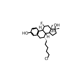 C[C@]12C[C@H](F)[C@@H]3c4ccc(O)cc4C[C@@H](CCCCCCl)[C@H]3[C@@H]1CC[C@@]2(C)O